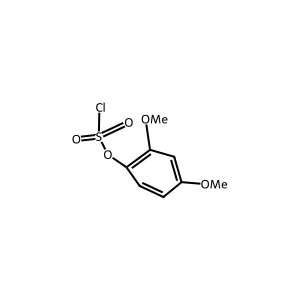 COc1ccc(OS(=O)(=O)Cl)c(OC)c1